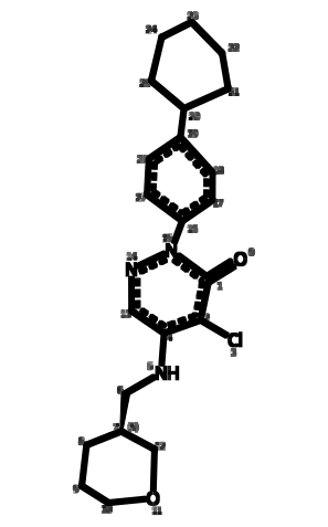 O=c1c(Cl)c(NC[C@@H]2CCCOC2)cnn1-c1ccc(C2CCCCC2)cc1